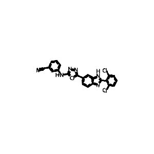 N#Cc1cccc(Nc2nnc(-c3ccc4nc(-c5c(Cl)cccc5Cl)[nH]c4c3)o2)c1